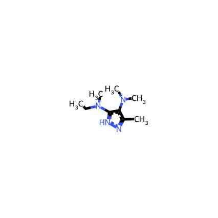 CCN(C)c1[nH]nc(C)c1N(C)C